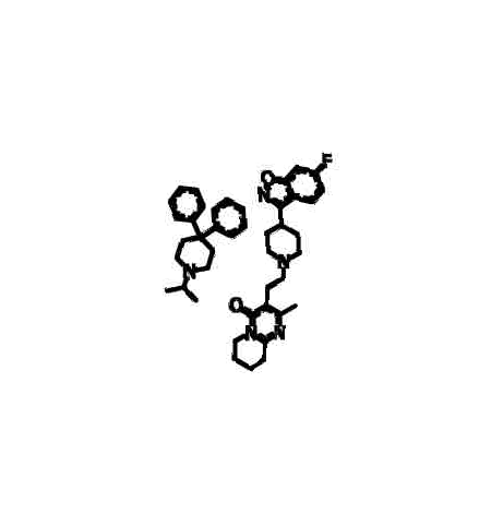 CC(C)N1CCC(c2ccccc2)(c2ccccc2)CC1.Cc1nc2n(c(=O)c1CCN1CCC(c3noc4cc(F)ccc34)CC1)CCCC2